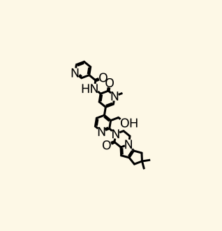 Cn1cc(-c2ccnc(N3CCn4c(cc5c4CC(C)(C)C5)C3=O)c2CO)cc(NC(=O)c2cccnc2)c1=O